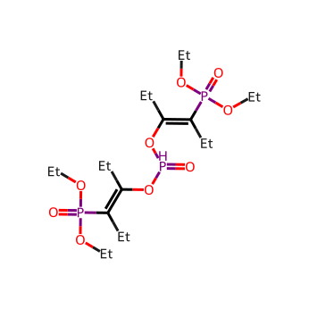 CCOP(=O)(OCC)C(CC)=C(CC)O[PH](=O)OC(CC)=C(CC)P(=O)(OCC)OCC